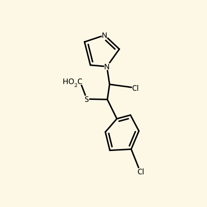 O=C(O)SC(c1ccc(Cl)cc1)C(Cl)n1ccnc1